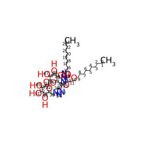 CCCCCCCCCCOCC(COCCCCCCCCCC)OCc1cn(CC2O[C@H](O[C@H]3OC(CN=[N+]=[N-])[C@@H](O)C(O)C3O)C(O)C(O)[C@@H]2O)nn1